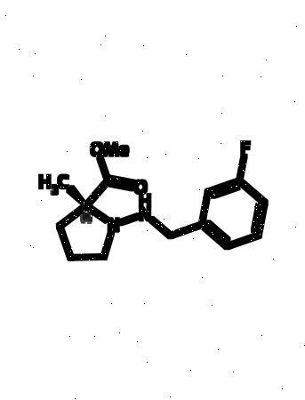 COC(=O)[C@@]1(C)CCCN1NCc1cccc(F)c1